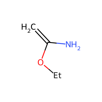 C=C(N)OCC